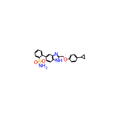 NS(=O)(=O)c1ccccc1-c1ccc2[nH]c(COc3ccc(C4CC4)cc3)nc2c1